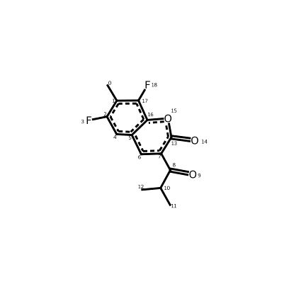 Cc1c(F)cc2cc(C(=O)C(C)C)c(=O)oc2c1F